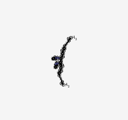 C=CC(=O)OCCCCCCOc1ccc(OC(=O)C2CCC(C(=O)Oc3ccc(-c4ccc(OC(=O)C5CCC(C(=O)Oc6ccc(OCCCCCCOC(=O)C=C)cc6)CC5)c(/C=N/N=c5/sc6ccccc6n5C)c4)cc3/C=N/N=c3/sc4ccccc4n3C)CC2)cc1